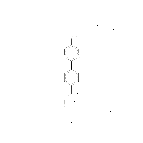 CCCCCCCCCCc1cnc(-c2ccc(COC(C)CC)cc2)nc1